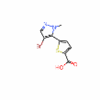 Cn1ncc(Br)c1-c1ccc(C(=O)O)s1